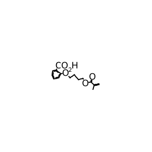 C=C(C)C(=O)OCCCCOc1ccccc1C(=O)O